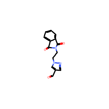 O=Cc1cnn(CCN2C(=O)c3ccccc3C2=O)c1